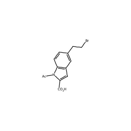 CC(=O)n1c(C(=O)O)cc2cc(CCBr)ccc21